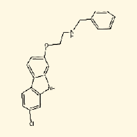 Clc1ccc2c(c1)[nH]c1cc(OCCNCc3ccccc3)ccc12